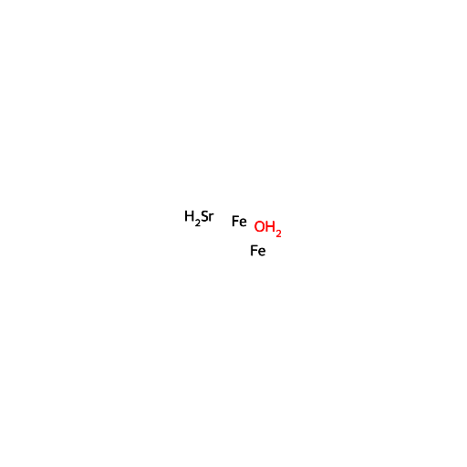 O.[Fe].[Fe].[SrH2]